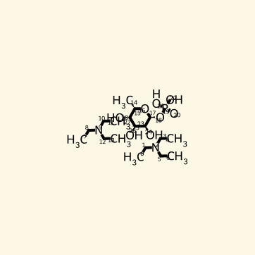 CCN(CC)CC.CCN(CC)CC.C[C@@H]1O[C@H](OP(=O)(O)O)[C@@H](O)[C@H](O)[C@@H]1O